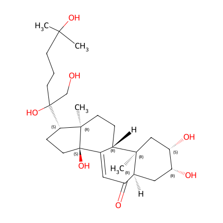 CC(C)(O)CCCC(O)(CO)[C@H]1CC[C@@]2(O)C3=CC(=O)[C@@H]4C[C@@H](O)[C@@H](O)C[C@]4(C)[C@H]3CC[C@]12C